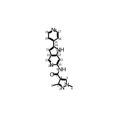 Cc1nn(C)cc1C(=O)Nc1cc2[nH]c(-c3ccncc3)cc2cn1